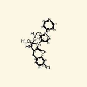 Cc1c(N2C(=O)C(Cc3ccc(Cl)cc3)NC2(C)C)cnn1-c1ccncc1